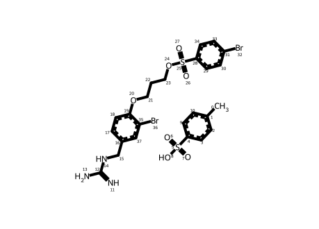 Cc1ccc(S(=O)(=O)O)cc1.N=C(N)NCc1ccc(OCCCOS(=O)(=O)c2ccc(Br)cc2)c(Br)c1